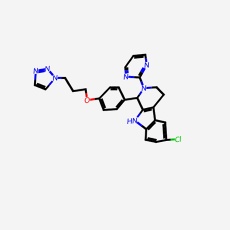 Clc1ccc2[nH]c3c(c2c1)CCN(c1ncccn1)C3c1ccc(OCCCn2ccnn2)cc1